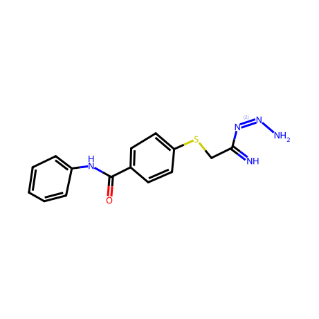 N=C(CSc1ccc(C(=O)Nc2ccccc2)cc1)/N=N\N